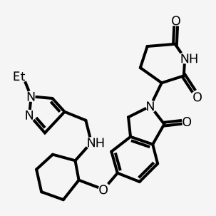 CCn1cc(CNC2CCCCC2Oc2ccc3c(c2)CN(C2CCC(=O)NC2=O)C3=O)cn1